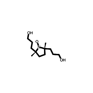 C[C@]1(CCCO)CC[C@@](C)(CCCO)N1[O]